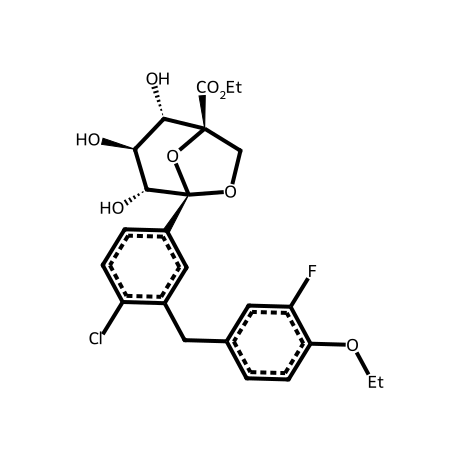 CCOC(=O)[C@@]12CO[C@@](c3ccc(Cl)c(Cc4ccc(OCC)c(F)c4)c3)(O1)[C@H](O)[C@@H](O)[C@@H]2O